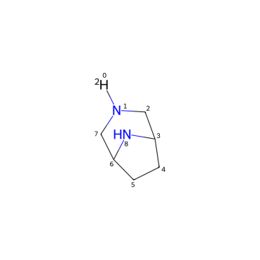 [2H]N1CC2CCC(C1)N2